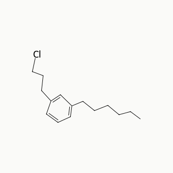 CCCCCCc1cccc(CCCCl)c1